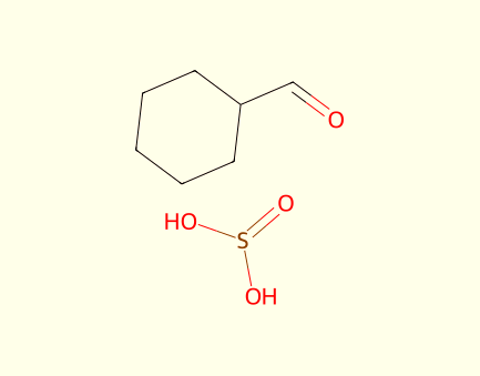 O=CC1CCCCC1.O=S(O)O